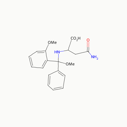 COc1ccccc1C(NC(CC(N)=O)C(=O)O)(OC)c1ccccc1